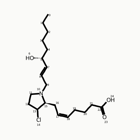 CCCCC[C@@H](O)/C=C/CN1CCC(Cl)[C@@H]1C/C=C\CCCC(=O)O